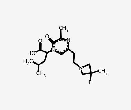 Cc1nc(CCN2CC(C)(F)C2)cn(C(CC(C)C)C(=O)O)c1=O